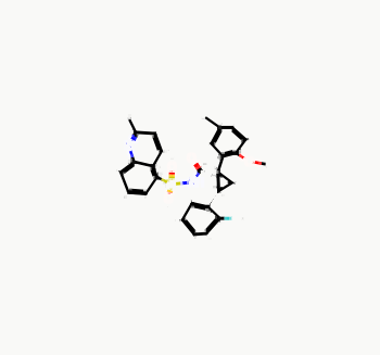 COc1ccc(C)cc1[C@@]1(C(=O)NS(=O)(=O)c2cccc3nc(C)ccc23)C[C@H]1c1ccccc1F